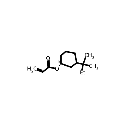 C=CC(=O)O[C@@H]1CCCC(C(C)(C)CC)C1